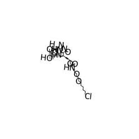 Nc1nc(=O)c2c(C#CCOC(=O)NCCOCCOCCCCCCCl)cn([C@H]3C[C@H](O)[C@@H](CO)O3)c2[nH]1